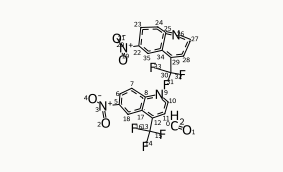 C=O.O=[N+]([O-])c1ccc2nccc(C(F)(F)F)c2c1.O=[N+]([O-])c1ccc2nccc(C(F)(F)F)c2c1